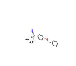 CCN(CC)C(C#N)c1ccc(OCc2ccccc2)cc1